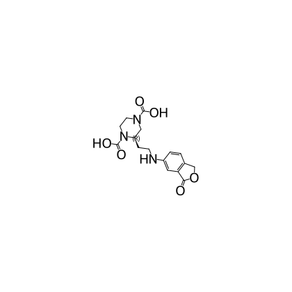 O=C1OCc2ccc(NCC[C@@H]3CN(C(=O)O)CCN3C(=O)O)cc21